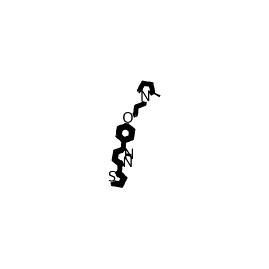 C[C@@H]1CCCN1CCCOc1ccc(-c2ccc(-c3cccs3)nn2)cc1